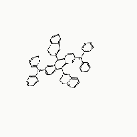 C1=CCCC(N(c2ccccc2)c2ccc3c(C4=Cc5ccccc5CC4)c4cc(N(C5=CCCC=C5)c5ccccc5)ccc4c(C4=Cc5ccccc5CC4)c3c2)=C1